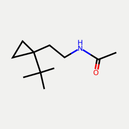 CC(=O)NCCC1(C(C)(C)C)CC1